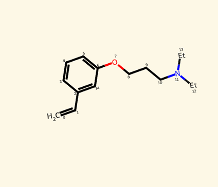 C=Cc1cccc(OCCCN(CC)CC)c1